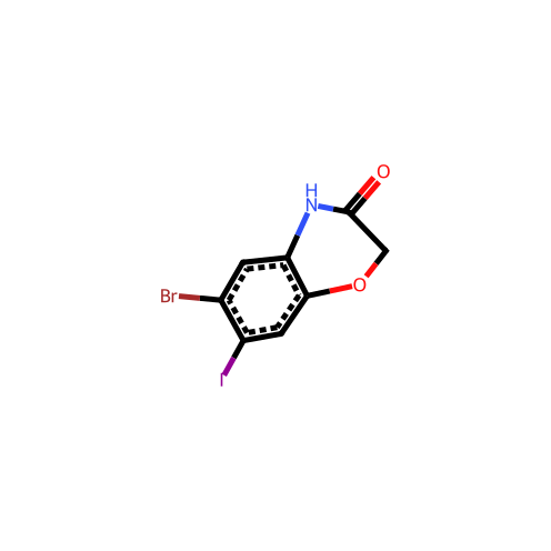 O=C1COc2cc(I)c(Br)cc2N1